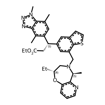 CCOC(=O)C[C@@H](c1cc(CN2C[C@@H](CC)Oc3cccnc3[C@@H]2C)c2sccc2c1)c1cc(C)c2c(nnn2C)c1C